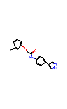 Cc1cccc(OCC(=O)Nc2ccc(-c3cn[nH]c3)cc2)c1